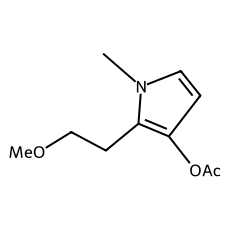 COCCc1c(OC(C)=O)ccn1C